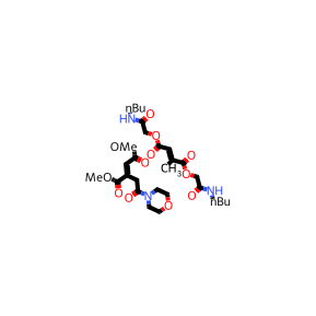 CCCCNC(=O)COC(=O)/C=C(\C)C(=O)OCC(=O)NCCCC.COC(=O)/C=C(\CC(=O)N1CCOCC1)C(=O)OC